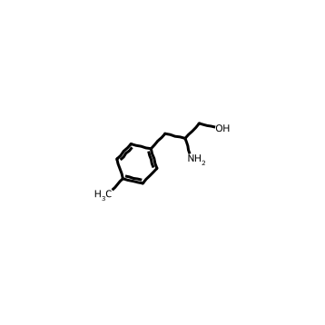 Cc1ccc(CC(N)CO)cc1